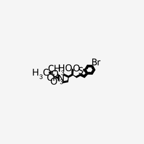 CC(C)(C)OC(=O)N1CC[C@H]([C@H](Cc2cc3ccc(Br)cc3s2)C(=O)O)C1